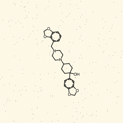 OC1(c2ccc3c(c2)OCO3)CCC(N2CCN(Cc3cccc4c3OCO4)CC2)CC1